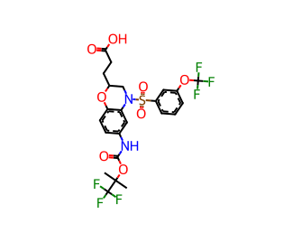 CC(C)(OC(=O)Nc1ccc2c(c1)N(S(=O)(=O)c1cccc(OC(F)(F)F)c1)CC(CCC(=O)O)O2)C(F)(F)F